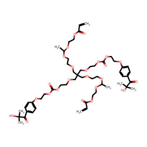 C=CC(=O)OCCOC(C)OCCOCC(COCCOC(=O)OCCOc1ccc(C(=O)C(C)(C)O)cc1)(COCCOC(=O)OCCOc1ccc(C(=O)C(C)(C)O)cc1)COCCOC(C)OCCOC(=O)C=C